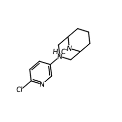 CN1C2CCCC1CN(c1ccc(Cl)nc1)C2